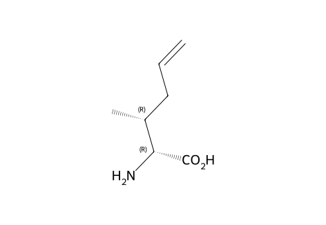 C=CC[C@@H](C)[C@@H](N)C(=O)O